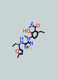 CCc1ccc(N(C)c2nsnc2N[C@H](CC)c2ccc(C)o2)c(O)c1C(=O)N(C)C